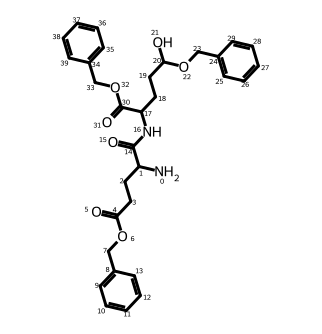 NC(CCC(=O)OCc1ccccc1)C(=O)NC(CCC(O)OCc1ccccc1)C(=O)OCc1ccccc1